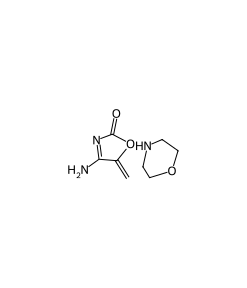 C1COCCN1.C=C1OC(=O)N=C1N